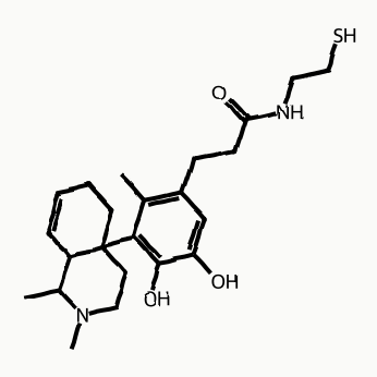 Cc1c(CCC(=O)NCCS)cc(O)c(O)c1C12CCC=CC1C(C)N(C)CC2